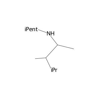 CCCC(C)NC(C)C(C)C(C)C